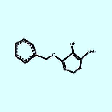 CCCC1=C(SC)[CH]CC=C1OCc1ccccc1